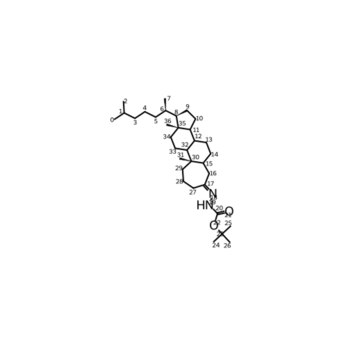 CC(C)CCC[C@@H](C)[C@H]1CCC2C3CCC4C/C(=N/NC(=O)OC(C)(C)C)CCC[C@]4(C)C3CC[C@@]21C